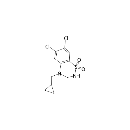 O=S1(=O)NCN(CC2CC2)c2cc(Cl)c(Cl)cc21